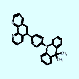 CC1(C)c2ccccc2N(c2ccc(-c3cc4cccnc4c4ncccc34)cc2)c2ccccc21